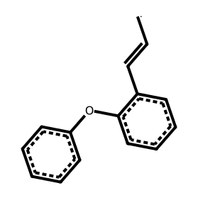 [CH2]/C=C/c1ccccc1Oc1ccccc1